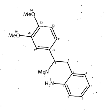 CNC(Cc1ccccc1N)c1ccc(OC)c(OC)c1